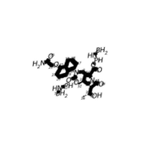 BNPOC(=O)C1=C(CN(C(=O)OPNB)c2cccc3c(OCC(N)=O)cccc23)[C@H](C)C2[C@@H]([C@@H](C)O)C(=O)N12